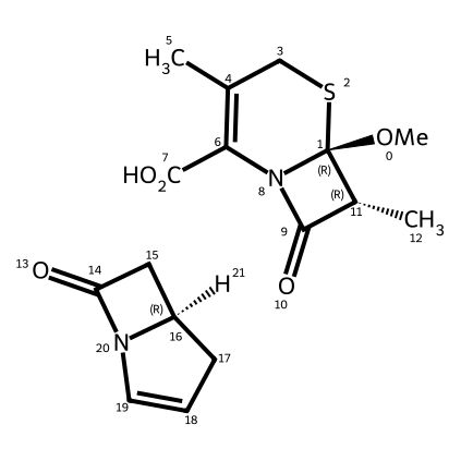 CO[C@]12SCC(C)=C(C(=O)O)N1C(=O)[C@H]2C.O=C1C[C@H]2CC=CN12